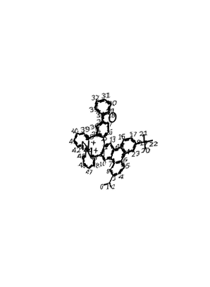 CC(C)c1ccc2c(c1)c1cc3c(cc1c1ccc(C(C)(C)C)cc21)-c1cc2oc4ccccc4c2cc1-c1cccc[n+]1-[n+]1ccccc1-3